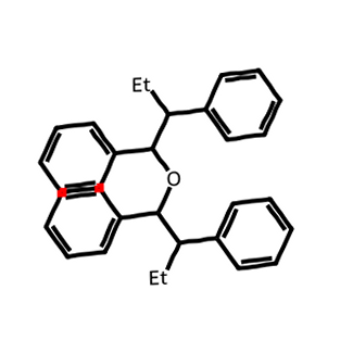 CCC(c1ccccc1)C(OC(c1ccccc1)C(CC)c1ccccc1)c1ccccc1